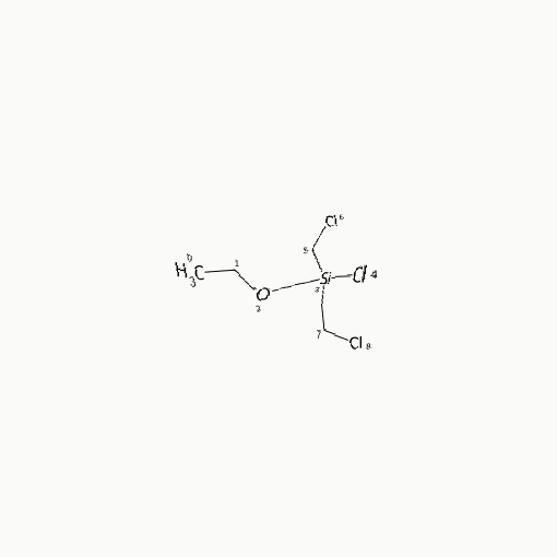 CCO[Si](Cl)(CCl)CCl